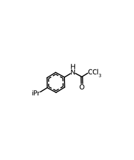 CC(C)c1ccc(NC(=O)C(Cl)(Cl)Cl)cc1